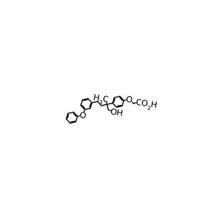 CC(CO)(CCc1cccc(Oc2ccccc2)c1)c1ccc(OCC(=O)O)cc1